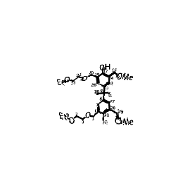 CCOCCOCc1cc(C(C)(C)c2cc(COC)c(O)c(COCCOCC)c2)cc(COC)c1C